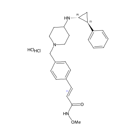 CONC(=O)/C=C/c1ccc(CN2CCC(N[C@@H]3C[C@H]3c3ccccc3)CC2)cc1.Cl.Cl